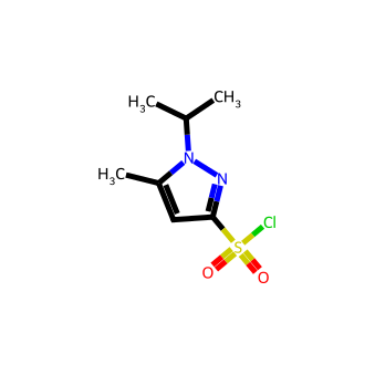 Cc1cc(S(=O)(=O)Cl)nn1C(C)C